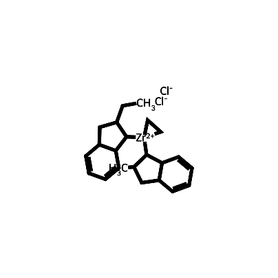 CCC1CC2C=CC=CC2[CH]1[Zr+2]1([CH]2C(C)CC3C=CC=CC32)[CH2][CH2]1.[Cl-].[Cl-]